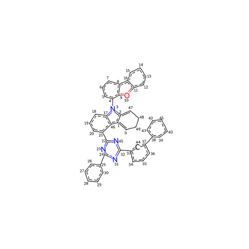 C1=c2c(n(-c3cccc4c3oc3ccccc34)c3cccc(-c4nc(-c5ccccc5)nc(-c5cccc(-c6ccccc6)c5)n4)c23)=CCC1